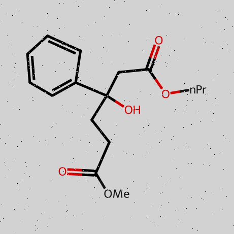 CCCOC(=O)CC(O)(CCC(=O)OC)c1ccccc1